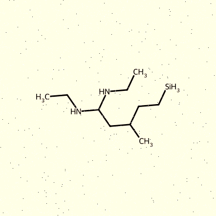 CCNC(CC(C)CC[SiH3])NCC